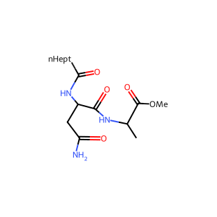 CCCCCCCC(=O)NC(CC(N)=O)C(=O)NC(C)C(=O)OC